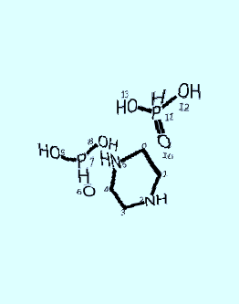 C1CNCCN1.O=[PH](O)O.O=[PH](O)O